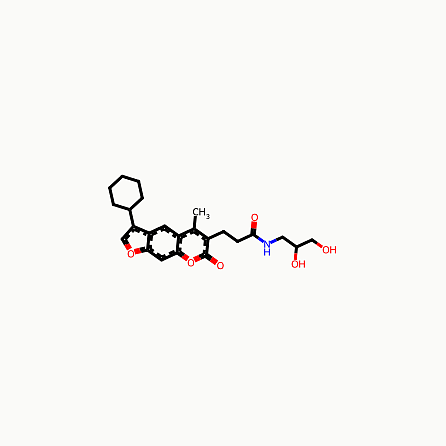 Cc1c(CCC(=O)NCC(O)CO)c(=O)oc2cc3occ(C4CCCCC4)c3cc12